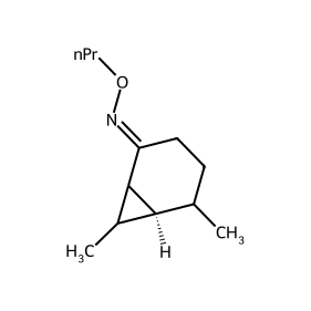 CCCO/N=C1\CCC(C)[C@H]2C(C)C12